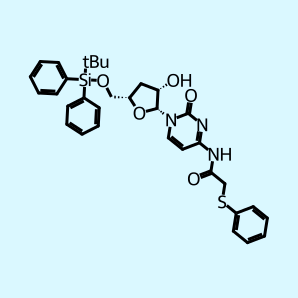 CC(C)(C)[Si](OC[C@@H]1C[C@H](O)[C@H](n2ccc(NC(=O)CSc3ccccc3)nc2=O)O1)(c1ccccc1)c1ccccc1